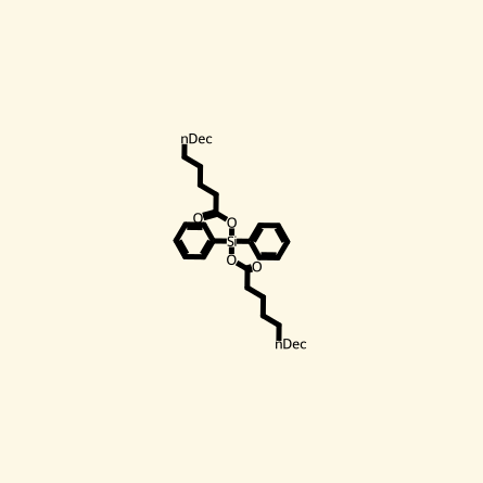 CCCCCCCCCCCCCCC(=O)O[Si](OC(=O)CCCCCCCCCCCCCC)(c1ccccc1)c1ccccc1